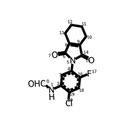 O=CNc1cc(N2C(=O)C3=C(CCCC3)C2=O)c(F)cc1Cl